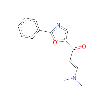 CN(C)/C=C/C(=O)c1cnc(-c2ccccc2)o1